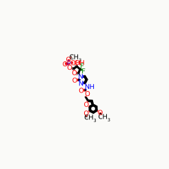 COc1cc(OC)c2oc(COC(=O)Nc3ccn([C@@H]4O[C@H](OP(=O)(O)OC)[C@@H](O)C4(F)F)c(=O)n3)cc2c1